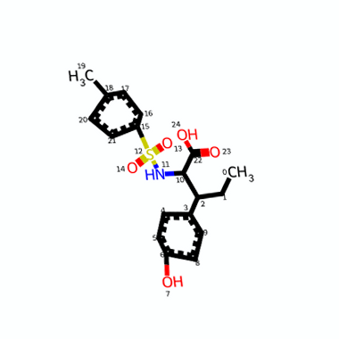 CCC(c1ccc(O)cc1)C(NS(=O)(=O)c1ccc(C)cc1)C(=O)O